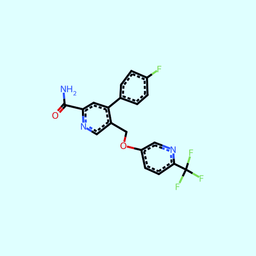 NC(=O)c1cc(-c2ccc(F)cc2)c(COc2ccc(C(F)(F)F)nc2)cn1